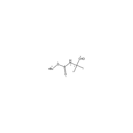 CCCCOC(=O)NC(C)(C)C=O